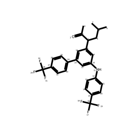 CC(=O)C(CC(C)C)c1cc(Nc2ccc(C(F)(F)F)cc2)cc(-c2ccc(C(F)(F)F)cc2)c1